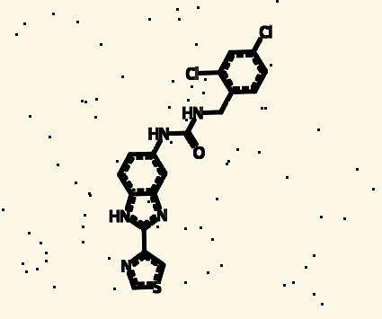 O=C(NCc1ccc(Cl)cc1Cl)Nc1ccc2[nH]c(-c3cscn3)nc2c1